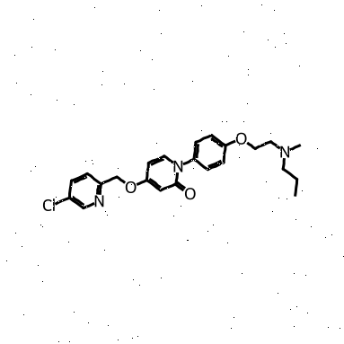 CCCN(C)CCOc1ccc(-n2ccc(OCc3ccc(Cl)cn3)cc2=O)cc1